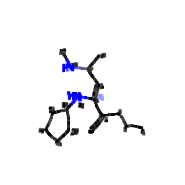 C=C(CCC)/C(=C/C(C)NC)NC1CCCC1